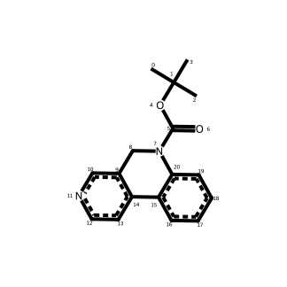 CC(C)(C)OC(=O)N1Cc2cnccc2-c2ccccc21